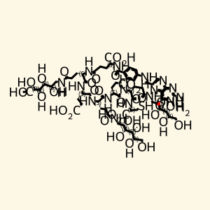 Nc1nc2ncc(CNc3ccc(C(=O)N[C@@H](CCC(=O)N[C@@H](CCC(=O)NC[C@H](O)[C@@H](O)[C@H](O)[C@H](O)CO)C(=O)N[C@@H](CCC(=O)O)C(=O)N[C@@H](CCC(=O)NC[C@H](O)[C@@H](O)[C@H](O)[C@H](O)CO)C(=O)N[C@@H](CCC(=O)O)C(=O)N[C@@H](CCC(=O)NC[C@H](O)[C@@H](O)[C@H](O)[C@H](O)CO)C(=O)N[C@H](CS)C(=O)O)C(=O)O)cc3)nc2c(=O)[nH]1